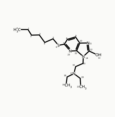 CCCCCCSc1ccc2nc(O)n(CCN(CC)CC)c2n1